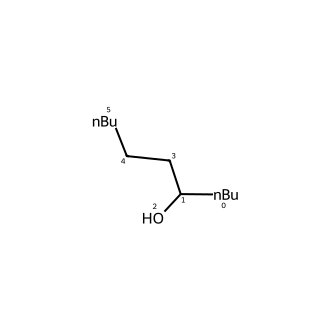 [CH2]CCCC(O)CCCCCC